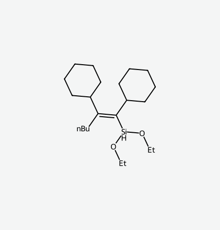 CCCCC(=C(C1CCCCC1)[SiH](OCC)OCC)C1CCCCC1